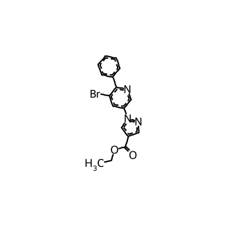 CCOC(=O)c1cnn(-c2cnc(-c3ccccc3)c(Br)c2)c1